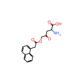 NC(CC(=O)COC(=O)Cc1cccc2ccccc12)C(=O)O